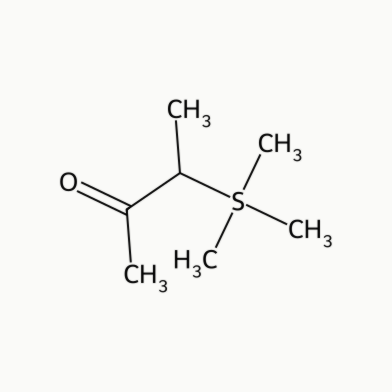 CC(=O)C(C)S(C)(C)C